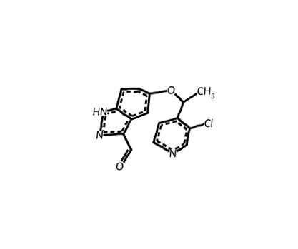 CC(Oc1ccc2[nH]nc(C=O)c2c1)c1ccncc1Cl